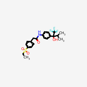 CCS(=O)(=O)c1ccc(CC(=O)Nc2ccc(C(O)(C(C)C)C(F)(F)F)cc2)cc1